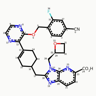 N#Cc1ccc(COc2nccnc2C2=CCC(Cc3nc4ccc(C(=O)O)nc4n3C[C@@H]3CCO3)CC2)c(F)c1